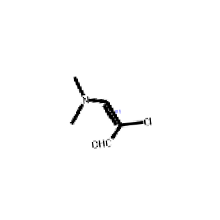 CN(C)/C=C(/Cl)C=O